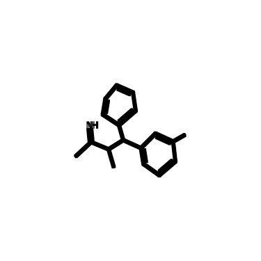 CC(=N)C(C)C(c1ccccc1)c1cccc(C)c1